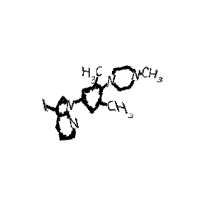 Cc1cc(-n2cc(I)c3cccnc32)cc(C)c1N1CCN(C)CC1